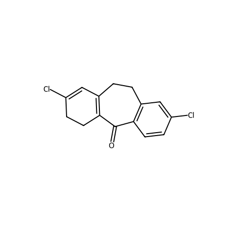 O=C1C2=C(C=C(Cl)CC2)CCc2cc(Cl)ccc21